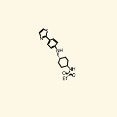 CCS(=O)(=O)N[C@H]1CC[C@H](CNc2ccc(-c3nccs3)cc2)CC1